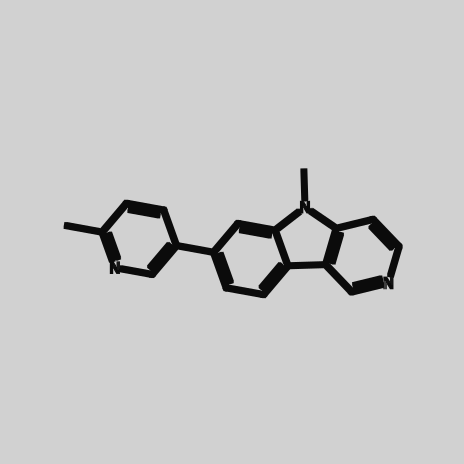 Cc1ccc(-c2ccc3c4cnccc4n(C)c3c2)cn1